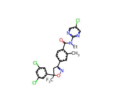 CCN(C(=O)c1ccc(C2=NOC(c3cc(Cl)cc(Cl)c3)(C(F)(F)F)C2)cc1C)c1ncc(Cl)cn1